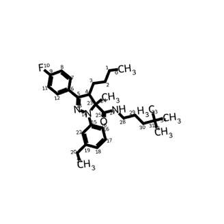 CCCCC1C(c2ccc(F)cc2)=NN(c2cccc(CC)c2)C1(C)C(=O)NCCCC(C)(C)C